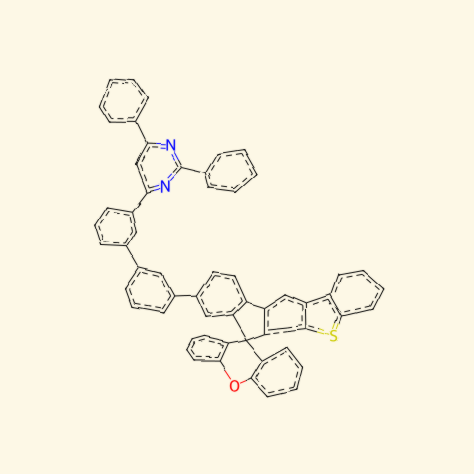 c1ccc(-c2cc(-c3cccc(-c4cccc(-c5ccc6c(c5)C5(c7ccccc7Oc7ccccc75)c5cc7sc8ccccc8c7cc5-6)c4)c3)nc(-c3ccccc3)n2)cc1